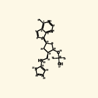 Cc1ncnc2c1ccn2[C@H]1CC(OC(C)(C)O)[C@@H](CNc2cncs2)C1